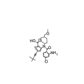 COCC1CCC(N(C(=O)c2ccc(Cl)cc2N)c2cc(C#CC(C)(C)C)sc2C(=O)O)CC1